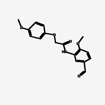 COc1ccc(OCC(=O)Nc2cc(C=O)ccc2OC)cc1